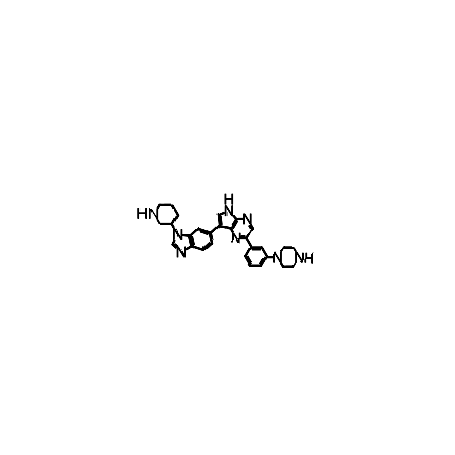 c1cc(-c2cnc3[nH]cc(-c4ccc5ncn(C6CCCNC6)c5c4)c3n2)cc(N2CCNCC2)c1